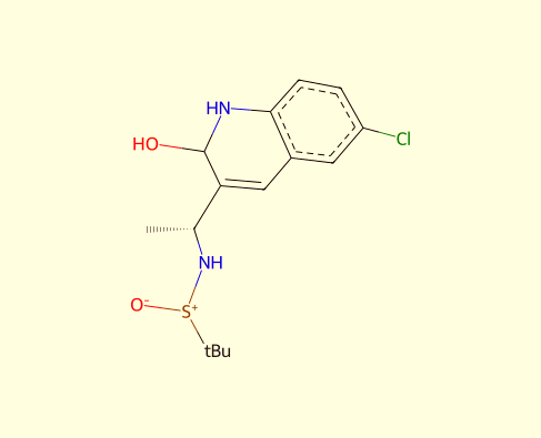 C[C@@H](N[S+]([O-])C(C)(C)C)C1=Cc2cc(Cl)ccc2NC1O